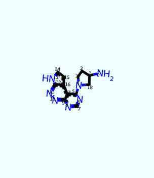 NC1CCN(c2ncnc3nnc4[nH]ccc4c23)C1